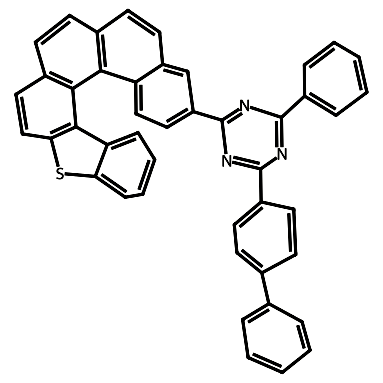 c1ccc(-c2ccc(-c3nc(-c4ccccc4)nc(-c4ccc5c(ccc6ccc7ccc8sc9ccccc9c8c7c65)c4)n3)cc2)cc1